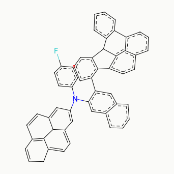 Fc1ccc(N(C2=CC3=CC=C4CC=CC5=C4C3C(=C2)C=C5)c2cc3ccccc3cc2-c2cccc3c2-c2ccc4cccc5c4c2C3c2ccccc2-5)cc1